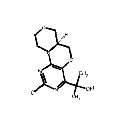 CC(C)(O)c1nc(Cl)nc2c1OC[C@@H]1COCCN21